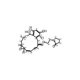 C[C@H]1CC(O)c2c(O)cc(O)c(Cl)c2CC(=N\OCCN2CCCC2=O)/C=C/C=C\[C@@H]2O[C@H]2C1